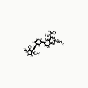 Bc1nc(NC(C)=O)c2nc(-c3cccc(C#C[C@]4(O)CCN(C)C4=O)c3)ccc2n1